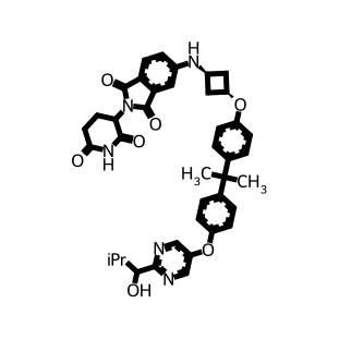 CC(C)C(O)c1ncc(Oc2ccc(C(C)(C)c3ccc(O[C@H]4C[C@H](Nc5ccc6c(c5)C(=O)N(C5CCC(=O)NC5=O)C6=O)C4)cc3)cc2)cn1